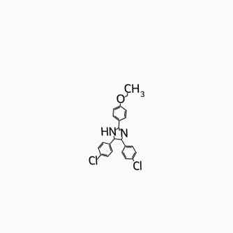 CCOc1ccc(C2=NC(c3ccc(Cl)cc3)C(c3ccc(Cl)cc3)N2)cc1